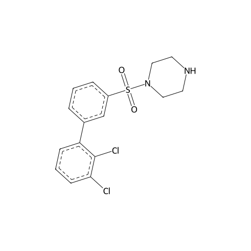 O=S(=O)(c1cccc(-c2cccc(Cl)c2Cl)c1)N1CCNCC1